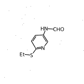 CCSc1ccc(NC=O)cn1